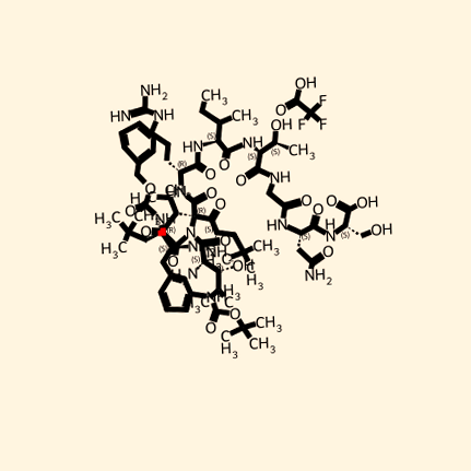 CCC(C)[C@H](NC(=O)[C@@H](CCCNC(=N)N)NC(=O)[C@](C(=O)[C@@H](N)CC(C)(C)C)(C(C(=O)[C@@H](N)Cc1cccc(NC(=O)OC(C)(C)C)c1)C(C)C)N(C(=O)[C@@H](N)[C@H](O)C(C)C)C(=O)[C@@H](CC(C)(C)C)NC(=O)OCc1ccccc1)C(=O)N[C@H](C(=O)NCC(=O)N[C@@H](CC(N)=O)C(=O)N[C@@H](CO)C(=O)O)[C@H](C)O.O=C(O)C(F)(F)F